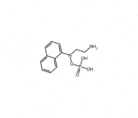 NCCN(OP(=O)(O)O)c1cccc2ccccc12